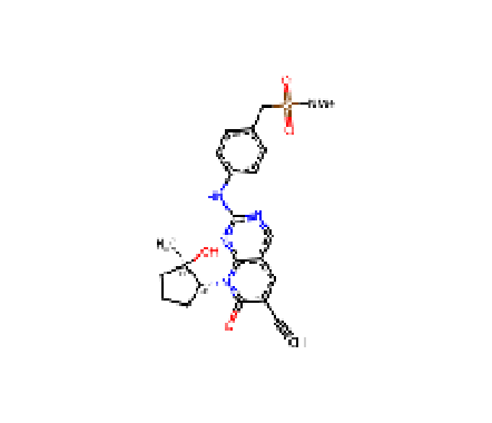 C#Cc1cc2cnc(Nc3ccc(CS(=O)(=O)NC)cc3)nc2n([C@@H]2CCC[C@@]2(C)O)c1=O